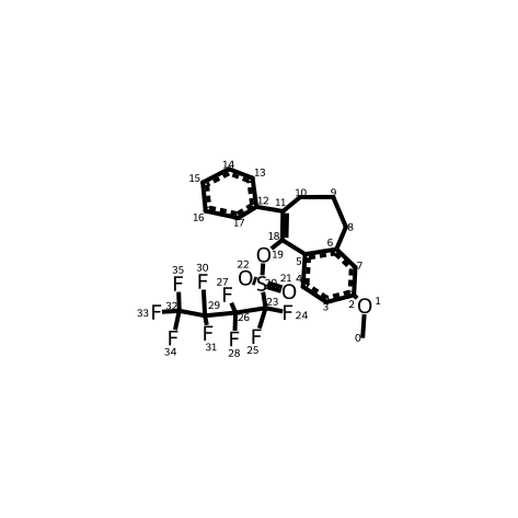 COc1ccc2c(c1)CCCC(c1ccccc1)=C2OS(=O)(=O)C(F)(F)C(F)(F)C(F)(F)C(F)(F)F